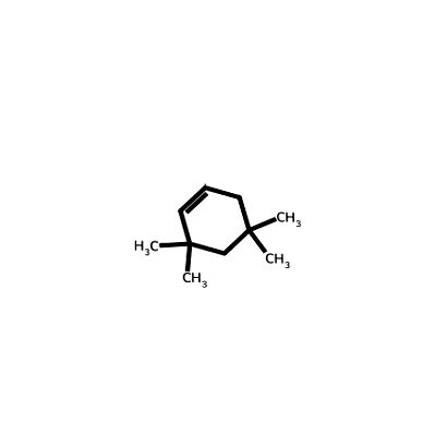 CC1(C)C=[C]CC(C)(C)C1